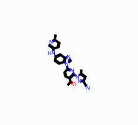 CC(=O)c1ccc(-n2cnc3cc(Nc4ccc(C)nc4)ccc32)nc1-n1nc(C#N)cc1C